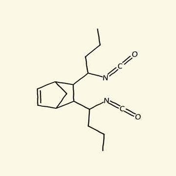 CCCC(N=C=O)C1C2C=CC(C2)C1C(CCC)N=C=O